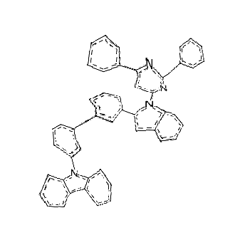 c1ccc(-c2cc(-n3c(-c4cccc(-c5cccc(-n6c7ccccc7c7ccccc76)c5)c4)cc4ccccc43)nc(-c3ccccc3)n2)cc1